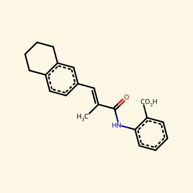 C/C(=C\c1ccc2c(c1)CCCC2)C(=O)Nc1ccccc1C(=O)O